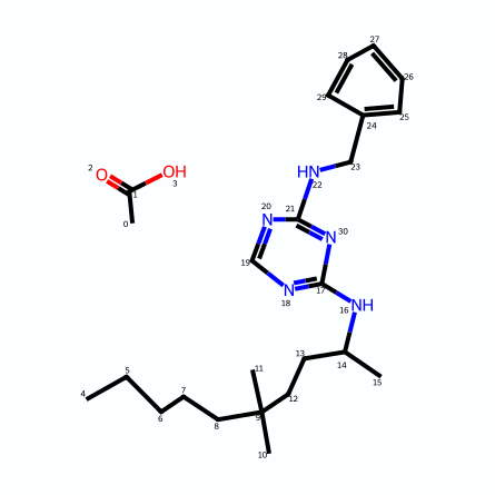 CC(=O)O.CCCCCC(C)(C)CCC(C)Nc1ncnc(NCc2ccccc2)n1